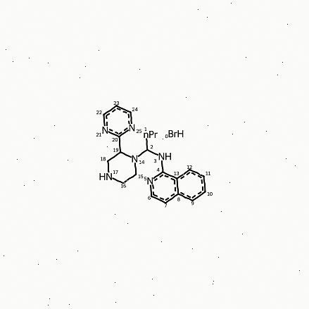 Br.CCCC(Nc1nccc2ccccc12)N1CCNCC1c1ncccn1